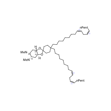 CCCCC/C=C\C/C=C\CCCCCCCCC1(CCCCCCCC/C=C\C/C=C\CCCCC)CCC2(CC1)O[C@H]1C[C@H](NC)[C@H](NC)C[C@@H]1O2